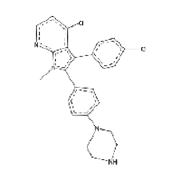 Cn1c(-c2ccc(N3CCNCC3)cc2)c(-c2ccc(Cl)cc2)c2c(Cl)ccnc21